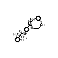 CC(C)(C(=O)Nc1ccc(-c2cnc3nc2NCCCNSc2cccc(c2)N3)cc1)c1ccccc1Cl